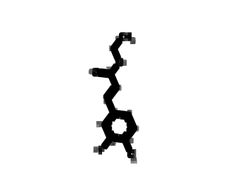 CCOC(=O)C=Cc1ccc(Cl)c(F)c1